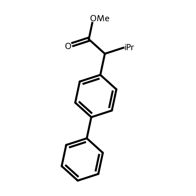 COC(=O)C(c1ccc(-c2ccccc2)cc1)C(C)C